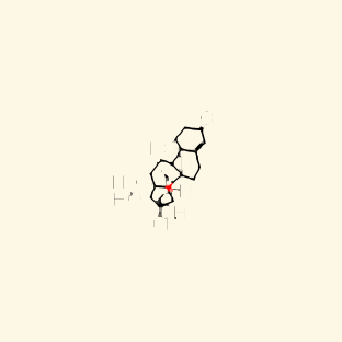 CCSSC12CC[C@]3(C)[C@@H](O)[C@H](C)C[C@H]3[C@@H]1CCC1=CC(=O)CC[C@@]12C